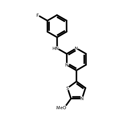 COc1ncc(-c2ccnc(Nc3cccc(F)c3)n2)s1